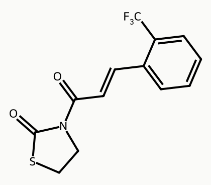 O=C(/C=C/c1ccccc1C(F)(F)F)N1CCSC1=O